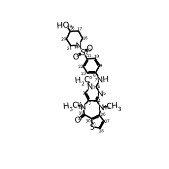 C=N/C=C1\C(=N/CNc2ccc(S(=O)(=O)N3CCC(O)CC3)cc2)N(C)c2ccsc2C(=O)N1C